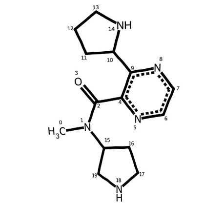 CN(C(=O)c1nccnc1C1CCCN1)C1CCNC1